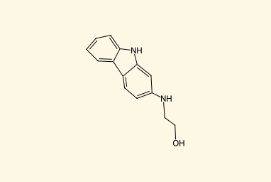 OCCNc1ccc2c(c1)[nH]c1ccccc12